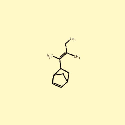 CC/C(C)=C(\C)C1CC2C=CC1C2